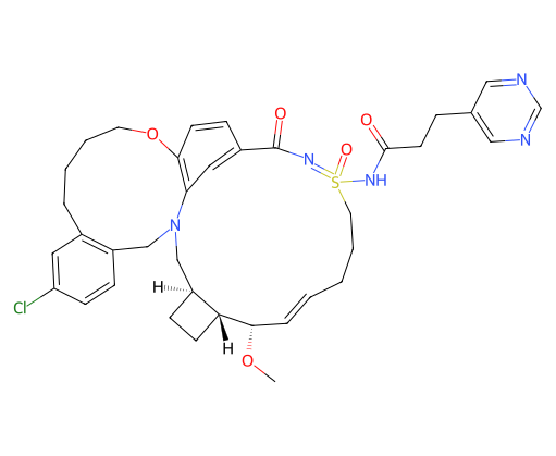 CO[C@H]1/C=C/CCCS(=O)(NC(=O)CCc2cncnc2)=NC(=O)c2ccc3c(c2)N(Cc2ccc(Cl)cc2CCCCO3)C[C@@H]2CC[C@H]21